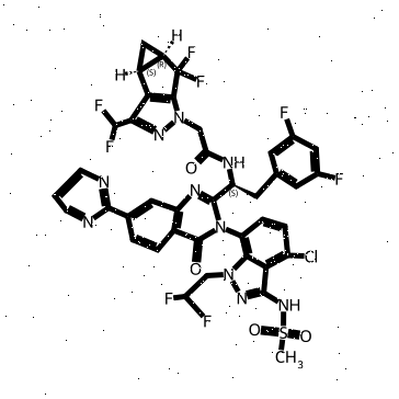 CS(=O)(=O)Nc1nn(CC(F)F)c2c(-n3c([C@H](Cc4cc(F)cc(F)c4)NC(=O)Cn4nc(C(F)F)c5c4C(F)(F)[C@@H]4C[C@H]54)nc4cc(-c5ncccn5)ccc4c3=O)ccc(Cl)c12